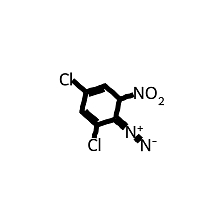 [N-]=[N+]=C1C(Cl)=CC(Cl)=CC1[N+](=O)[O-]